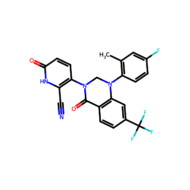 Cc1cc(F)ccc1N1CN(c2ccc(=O)[nH]c2C#N)C(=O)c2ccc(C(F)(F)F)cc21